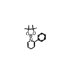 CC1(C)OB(N2C=CCC=C2c2ccccc2)OC1(C)C